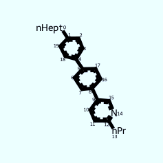 CCCCCCCc1ccc(-c2ccc(-c3ccc(CCC)nc3)cc2)cc1